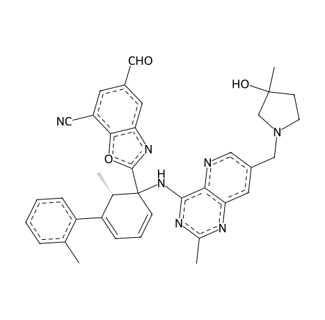 Cc1nc(NC2(c3nc4cc(C=O)cc(C#N)c4o3)C=CC=C(c3ccccc3C)[C@@H]2C)c2ncc(CN3CCC(C)(O)C3)cc2n1